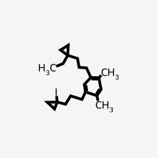 CCC1(CCCc2cc(CCCC3(I)CC3)c(C)cc2C)CC1